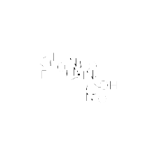 COc1cc(C(C)(CO)NC(=O)c2c(C)nc3c(OCc4c(F)cccc4F)cccn23)ccn1